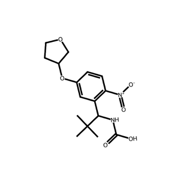 CC(C)(C)C(NC(=O)O)c1cc(OC2CCOC2)ccc1[N+](=O)[O-]